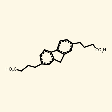 O=C(O)CCCc1ccc2c(c1)Cc1cc(CCCC(=O)O)ccc1-2